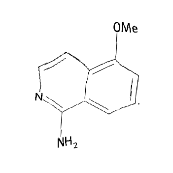 COc1c[c]cc2c(N)nccc12